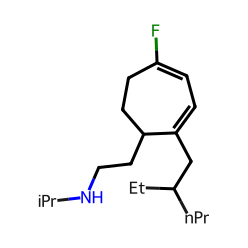 CCCC(CC)CC1=CC=C(F)CCC1CCNC(C)C